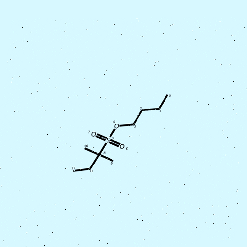 CCCCOS(=O)(=O)C(C)(C)CC